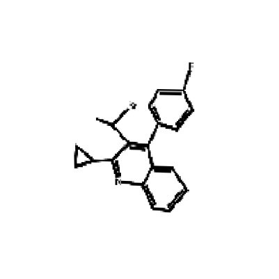 CC(Br)c1c(C2CC2)nc2ccccc2c1-c1ccc(F)cc1